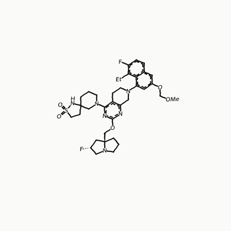 CCc1c(F)ccc2cc(OCOC)cc(N3CCc4c(nc(OC[C@@]56CCCN5C[C@H](F)C6)nc4N4CCCC5(CCS(=O)(=O)N5)C4)C3)c12